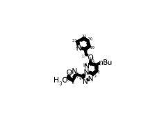 CCCCc1cc2nnc(-c3cc(C)on3)n2nc1OCc1ccccn1